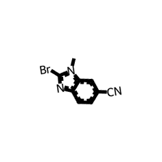 Cn1c(Br)nc2ccc(C#N)cc21